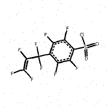 O=S(=O)(Cl)c1c(F)c(F)c(C(F)(F)C(F)=C(F)F)c(F)c1F